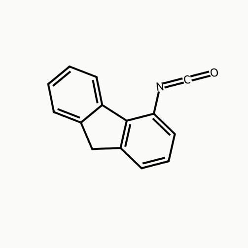 O=C=Nc1cccc2c1-c1ccccc1C2